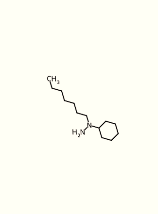 CCCCCCCN(N)C1CCCCC1